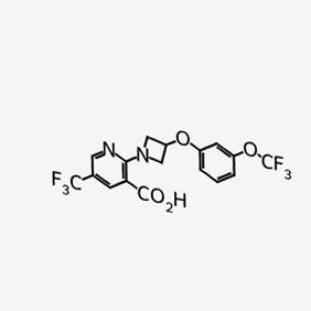 O=C(O)c1cc(C(F)(F)F)cnc1N1CC(Oc2cccc(OC(F)(F)F)c2)C1